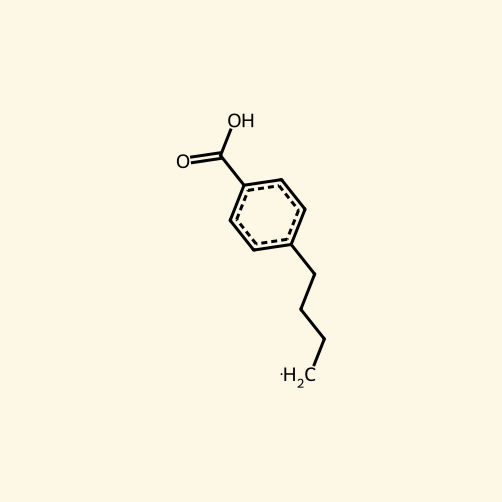 [CH2]CCCc1ccc(C(=O)O)cc1